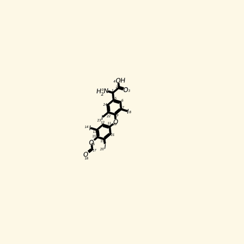 NC(C(=O)O)c1cc(I)c(Oc2cc(I)c(OC=O)c(I)c2)c(I)c1